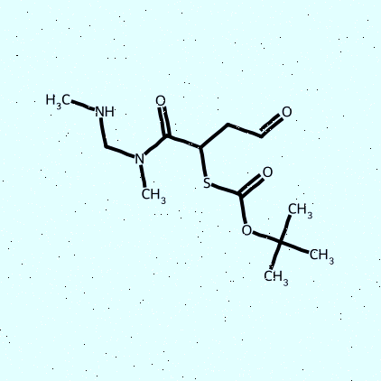 CNCN(C)C(=O)C(CC=O)SC(=O)OC(C)(C)C